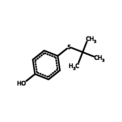 CC(C)(C)Sc1ccc(O)cc1